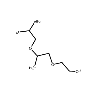 CCCCC(CC)COC(C)COCCO